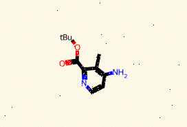 Cc1c(N)ccnc1C(=O)OC(C)(C)C